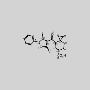 C[C@@H]1[C@H](c2ccccc2)OC(=O)N1C(=O)[C@@H]1CN(C(=O)O)CCC12CC2